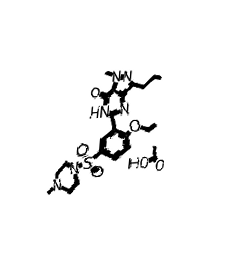 CC(=O)O.CCCc1nn(C)c2c(=O)[nH]c(-c3cc(S(=O)(=O)N4CCN(C)CC4)ccc3OCC)nc12